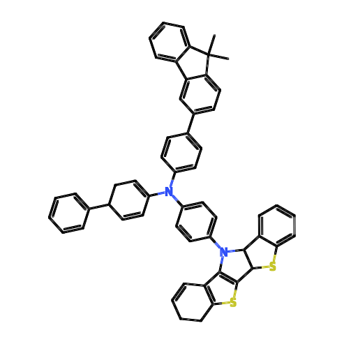 CC1(C)c2ccccc2-c2cc(-c3ccc(N(C4=CCC(c5ccccc5)C=C4)c4ccc(N5c6c(sc7c6C=CCC7)C6Sc7ccccc7C65)cc4)cc3)ccc21